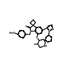 COc1ccc(CN2C(=O)C3(CCC3)c3cc(-c4ccnn4-c4ccccc4)cc(OC4CCNCC4F)c32)cc1